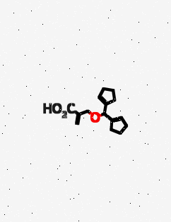 C=C(COC(C1=CCCC1)C1=CCCC1)C(=O)O